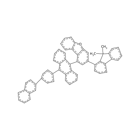 CC1(C)c2ccccc2-c2cccc(-c3cc(-c4c5ccccc5c(-c5ccc(-c6ccc7ccccc7c6)cc5)c5ccccc45)c4c(c3)oc3ccccc34)c21